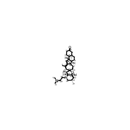 CC1=C2C[C@H]3[C@@H](CCC4CC(=O)CC[C@@]43C)[C@@H]2CCC2(C1)O[C@@H]1C[C@H](C)CN(CCN(C)C)[C@H]1[C@H]2C